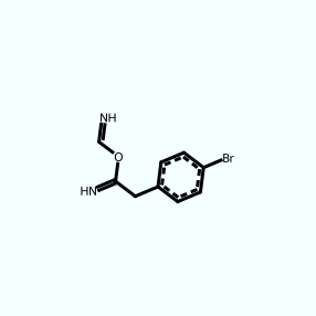 N=COC(=N)Cc1ccc(Br)cc1